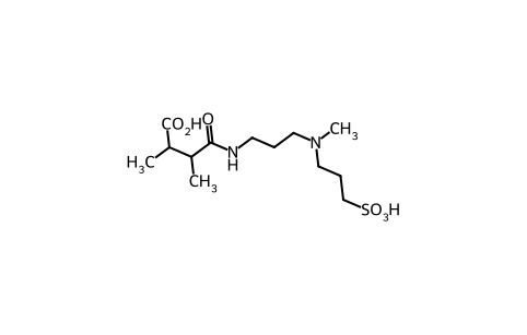 CC(C(=O)O)C(C)C(=O)NCCCN(C)CCCS(=O)(=O)O